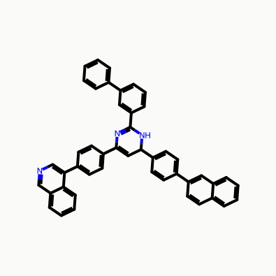 C1=C(c2ccc(-c3cncc4ccccc34)cc2)N=C(c2cccc(-c3ccccc3)c2)NC1c1ccc(-c2ccc3ccccc3c2)cc1